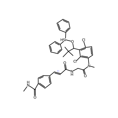 CNC(=O)c1ccc(/C=C/C(=O)NCC(=O)N(C)c2ccc(Cl)c(C(O[SiH](c3ccccc3)c3ccccc3)C(C)(C)C)c2Cl)cc1